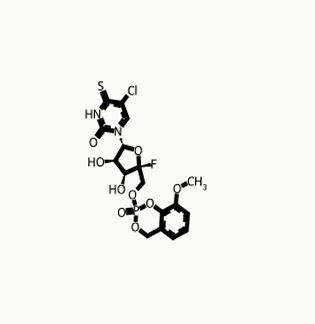 COc1cccc2c1OP(=O)(OC[C@@]1(F)O[C@@H](n3cc(Cl)c(=S)[nH]c3=O)[C@H](O)[C@@H]1O)OC2